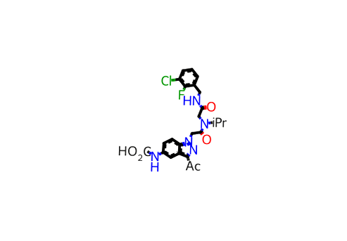 CC(=O)c1nn(CC(=O)N(CC(=O)NCc2cccc(Cl)c2F)C(C)C)c2ccc(NC(=O)O)cc12